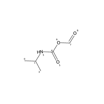 CC(C)NC(=O)OC=O